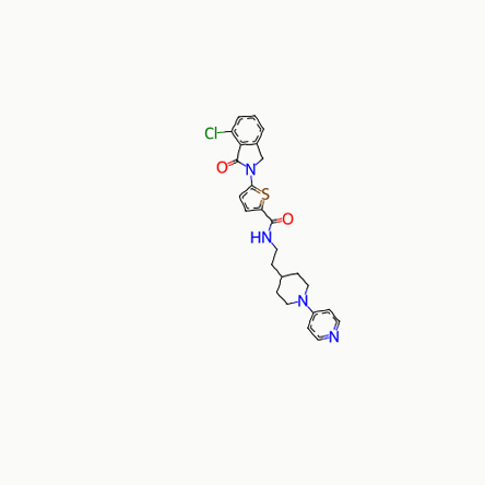 O=C(NCCC1CCN(c2ccncc2)CC1)c1ccc(N2Cc3cccc(Cl)c3C2=O)s1